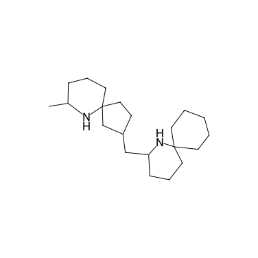 CC1CCCC2(CCC(CC3CCCC4(CCCCC4)N3)C2)N1